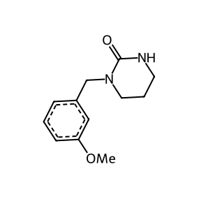 COc1cccc(CN2CCCNC2=O)c1